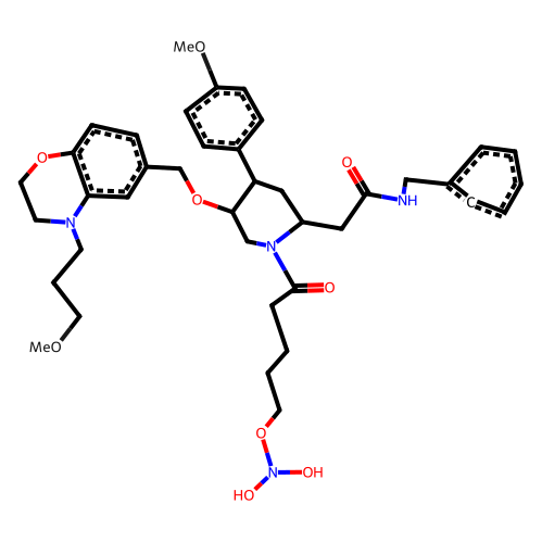 COCCCN1CCOc2ccc(COC3CN(C(=O)CCCCON(O)O)C(CC(=O)NCc4ccccc4)CC3c3ccc(OC)cc3)cc21